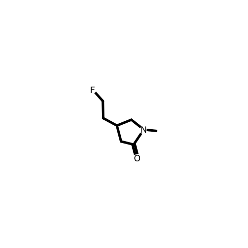 CN1CC(CCF)CC1=O